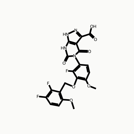 COc1ccc(F)c(F)c1COc1c(OC)ccc(-n2c(=O)[nH]c3[nH]nc(C(=O)O)c3c2=O)c1F